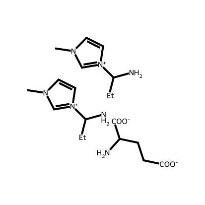 CCC(N)[n+]1ccn(C)c1.CCC(N)[n+]1ccn(C)c1.NC(CCC(=O)[O-])C(=O)[O-]